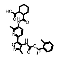 Cc1ccccc1[C@@H](C)OC(=O)Nc1c(C)noc1-c1ccc(NC(=O)C2CCCCC2C(=O)O)c(C)n1